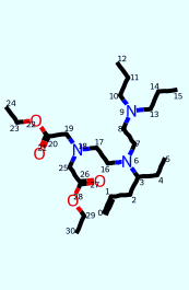 C=CCC(CC)N(CCN(CCC)CCC)CCN(CC(=O)OCC)CC(=O)OCC